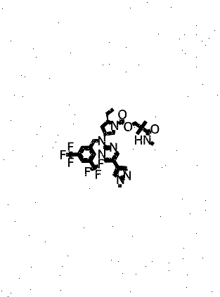 CC[C@@H]1C[C@H](N(Cc2cc(C(F)(F)F)cc(C(F)(F)F)c2)c2ncc(-c3cnn(C)c3)cn2)CN1C(=O)OCC(C)(C)C(=O)NC